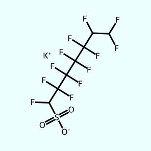 O=S(=O)([O-])C(F)C(F)(F)C(F)(F)C(F)(F)C(F)(F)C(F)C(F)F.[K+]